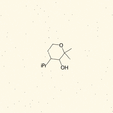 CC(C)C1CCOC(C)(C)C1O